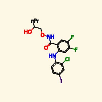 CCCC(O)CONC(=O)c1cc(F)c(F)cc1Nc1ccc(I)cc1Cl